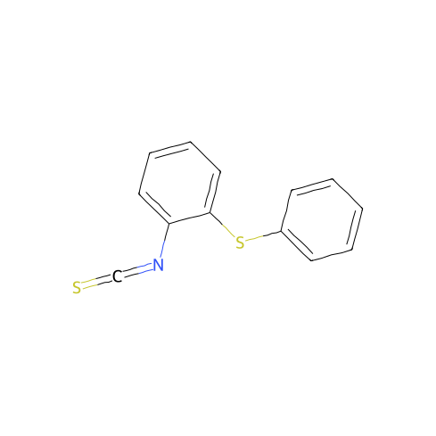 S=C=Nc1ccccc1Sc1ccccc1